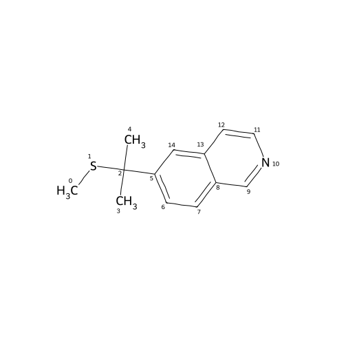 CSC(C)(C)c1ccc2cnccc2c1